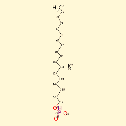 CCCCCCCCCCCCCCCCCCO[PH](=O)[O-].[K+]